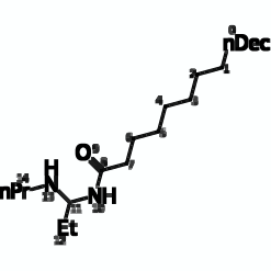 CCCCCCCCCCCCCCCCCC(=O)NC(CC)NCCC